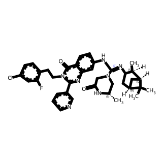 C[C@@H]1C(/N=C(/Nc2ccc3c(=O)n(CCc4ccc(Cl)cc4F)c(-c4cccnc4)nc3c2)N2CC(=O)N[C@@H](C)C2)C[C@H]2C[C@@H]1C2(C)C